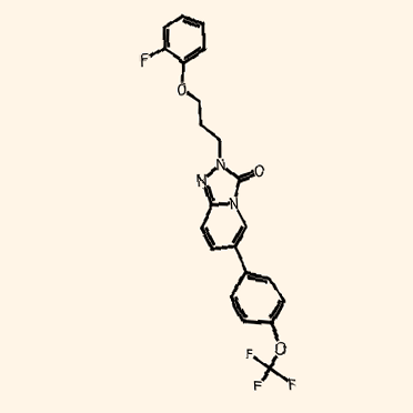 O=c1n(CCCOc2ccccc2F)nc2ccc(-c3ccc(OC(F)(F)F)cc3)cn12